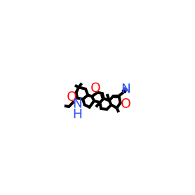 CCC(=O)NC12CCC3C(C(=O)C=C4C5(C)C=C(C#N)C(=O)C(C)C5CCC43C)C1CC(C)(C)CC2